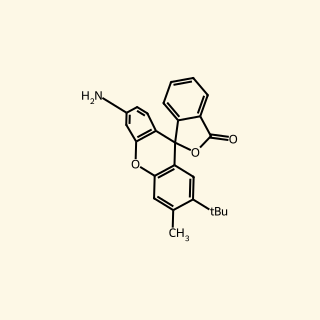 Cc1cc2c(cc1C(C)(C)C)C1(OC(=O)c3ccccc31)c1ccc(N)cc1O2